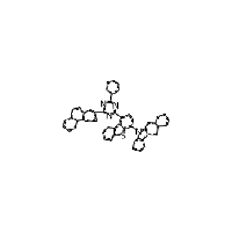 c1ccc(-c2nc(-c3ccc4c(ccc5ccccc54)c3)nc(-c3ccc(-n4c5ccccc5c5cc6ccccc6cc54)c4sc5ccccc5c34)n2)cc1